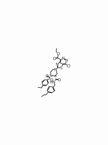 CCCc1ccc(CNC(=O)[C@H]2CN(c3nc4c(C(=O)OCC)nnc(Cl)c4s3)CCN2S(=O)(=O)c2ccc(CC)cc2)cc1